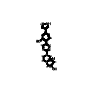 Oc1cc(-c2cn[nH]c2)ccc1-c1cnc(N2CCN3C[C@H](O)C[C@H]3C2)nn1